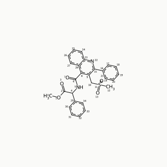 COC(=O)C(NC(=O)c1c(CS(C)(=O)=O)c(-c2ccccc2)nc2ccccc12)c1ccccc1